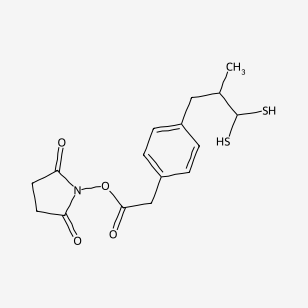 CC(Cc1ccc(CC(=O)ON2C(=O)CCC2=O)cc1)C(S)S